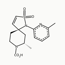 Cc1cccc(N2[C@]3(C=CS2(=O)=O)CCN(C(=O)O)[C@@H](C)C3)n1